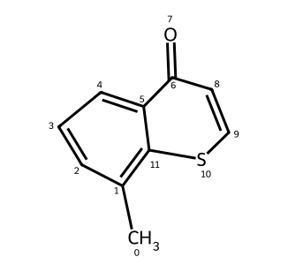 Cc1cccc2c(=O)ccsc12